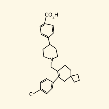 O=C(O)c1ccc(C2CCN(CC3=C(c4ccc(Cl)cc4)CC4(CCC4)CC3)CC2)cc1